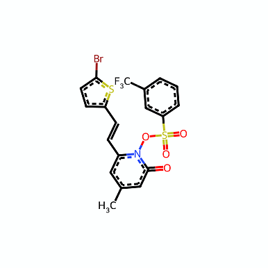 Cc1cc(C=Cc2ccc(Br)s2)n(OS(=O)(=O)c2cccc(C(F)(F)F)c2)c(=O)c1